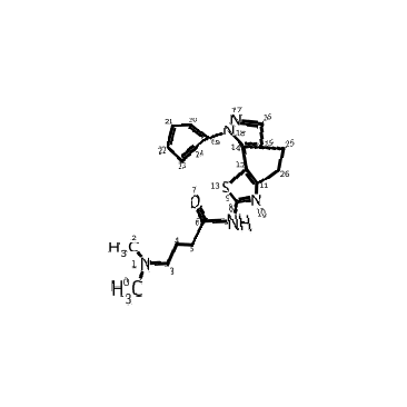 CN(C)CCCC(=O)Nc1nc2c(s1)-c1c(cnn1-c1ccccc1)CC2